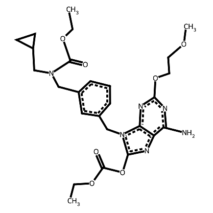 CCOC(=O)Oc1nc2c(N)nc(OCCOC)nc2n1Cc1cccc(CN(CC2CC2)C(=O)OCC)c1